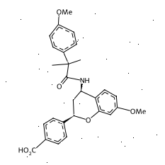 COc1ccc(C(C)(C)C(=O)N[C@@H]2C[C@H](c3ccc(C(=O)O)cc3)Oc3cc(OC)ccc32)cc1